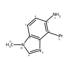 CC(C)c1c(N)ccc2c1ncn2C